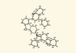 C1=C2Oc3cccc(-c4cc(-c5ccccc5)c5ccccc5n4)c3C2CC=C1n1c2ccccc2c2c3sc4ccccc4c3ccc21